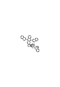 CC1(c2ccc(-c3cnc4ccccc4c3)nc2)C=Cc2c(c(-c3ccc4ccccc4c3)c3ccccc3c2-c2ccc3ccccc3c2)C1